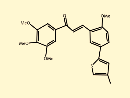 COc1ccc(-c2cc(C)cs2)cc1/C=C/C(=O)c1cc(OC)c(OC)c(OC)c1